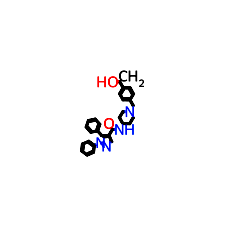 C=C(O)c1ccc(CN2CCC(NC(=O)c3cnn(-c4ccccc4)c3-c3ccccc3)CC2)cc1